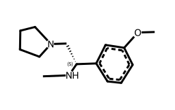 CN[C@H](CN1CCCC1)c1cccc(OC)c1